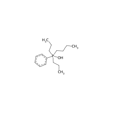 CCCCP(O)(CCC)(CCC)c1ccccc1